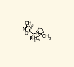 Cc1noc(C(C)N2CCCC2(C)C)n1